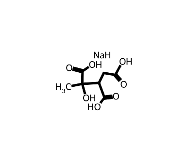 CC(O)(C(=O)O)C(CC(=O)O)C(=O)O.[NaH]